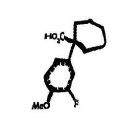 COc1ccc(C2(C(=O)O)CCCCC2)cc1F